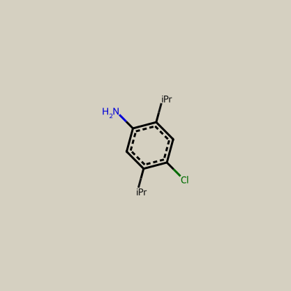 CC(C)c1cc(Cl)c(C(C)C)cc1N